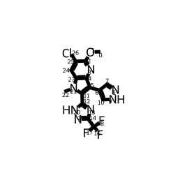 COc1nc2c(-c3cn[nH]c3)c(-c3nc(C(F)(F)F)n[nH]3)n(C)c2cc1Cl